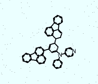 C1=C2c3ccccc3-c3cccc(c32)C(C2C=C(c3ccc4c5c(cccc35)-c3ccccc3-4)C=C(N(c3ccccc3)c3ccncc3)C2)C1